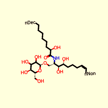 CCCCCCCCC/C=C\CCC[C@@H](O)[C@@H](O)[C@H](CO[C@@H]1O[C@H](CO)[C@@H](O)C(O)C1O)NC(=O)[C@H](O)CCCCCCCCCCCCCCCC